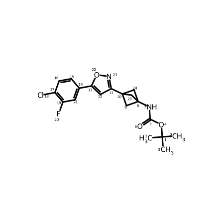 CC(C)(C)OC(=O)NC12CC(c3cc(-c4ccc(Cl)c(F)c4)on3)(C1)C2